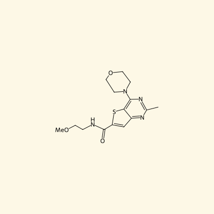 COCCNC(=O)c1cc2nc(C)nc(N3CCOCC3)c2s1